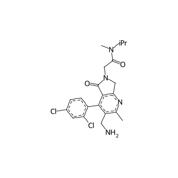 Cc1nc2c(c(-c3ccc(Cl)cc3Cl)c1CN)C(=O)N(CC(=O)N(C)C(C)C)C2